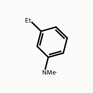 CCc1cccc([N]C)c1